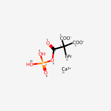 CCCC(C(=O)[O-])(C(=O)[O-])C(=O)OP(=O)(O)O.[Ca+2]